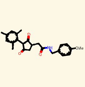 COc1ccc(CNC(=O)CC2CC(=O)C(c3c(C)cc(C)cc3C)C2=O)cc1